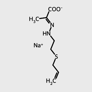 C=CCSCCNN=C(C)C(=O)[O-].[Na+]